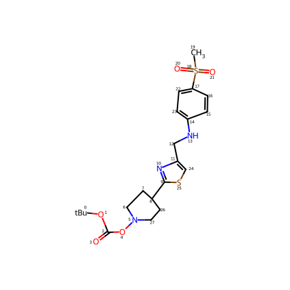 CC(C)(C)OC(=O)ON1CCC(c2nc(CNc3ccc(S(C)(=O)=O)cc3)cs2)CC1